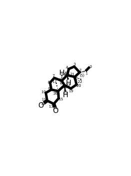 CC[C@H]1CC[C@H]2[C@@H]3CCC4CC(=O)C(=O)C[C@]4(C)[C@H]3CC[C@]12C